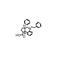 O=C(O)N1CC[C@H]2[C@@H]1c1ccccc1N(CCc1ccccc1)[C@H]2c1ccccc1